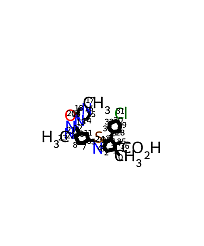 Cc1cc2nc(-c3ccc4c(c3)c(N3CCN(C)CC3=O)nn4C)sc2c(-c2ccc(Cl)cc2)c1CC(=O)O